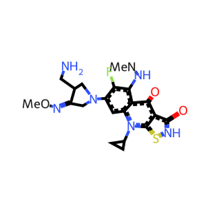 CNNc1c(F)c(N2C/C(=N/OC)C(CN)C2)cc2c1c(=O)c1c(=O)[nH]sc1n2C1CC1